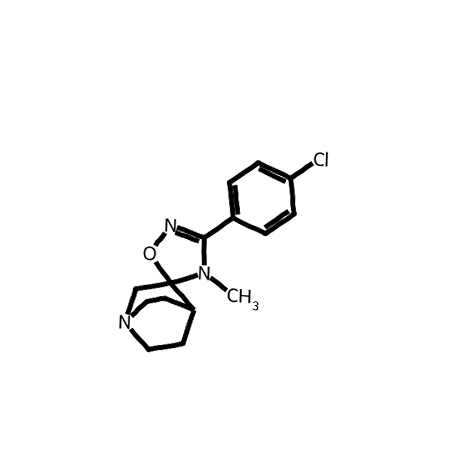 CN1C(c2ccc(Cl)cc2)=NOC12CN1CCC2CC1